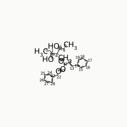 CC[C@@H](O)C(C)[C@@H](O)CC.O=C(C=Cc1ccccc1)OOCc1ccccc1